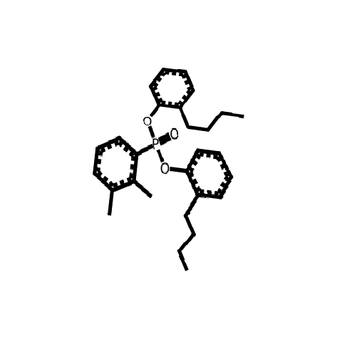 CCCCc1ccccc1OP(=O)(Oc1ccccc1CCCC)c1cccc(C)c1C